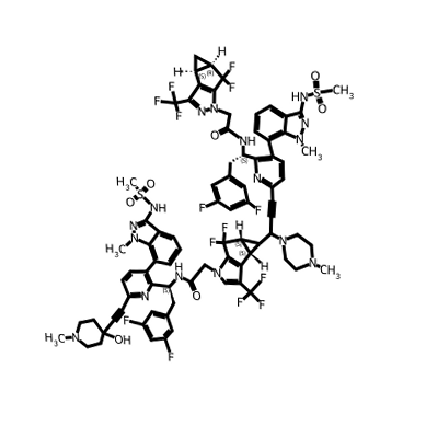 CN1CCN(C(C#Cc2ccc(-c3cccc4c(NS(C)(=O)=O)nn(C)c34)c([C@H](Cc3cc(F)cc(F)c3)NC(=O)Cn3nc(C(F)(F)F)c4c3C(F)(F)[C@@H]3C[C@H]43)n2)C2[C@@H]3[C@H]2c2c(C(F)(F)F)cn(CC(=O)N[C@@H](Cc4cc(F)cc(F)c4)c4nc(C#CC5(O)CCN(C)CC5)ccc4-c4cccc5c(NS(C)(=O)=O)nn(C)c45)c2C3(F)F)CC1